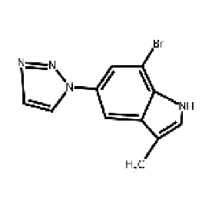 Cc1c[nH]c2c(Br)cc(-n3ccnn3)cc12